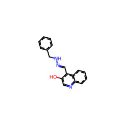 Oc1cnc2ccccc2c1/C=N/NCc1ccccc1